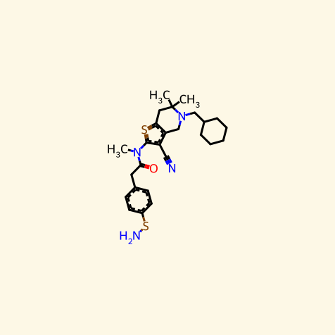 CN(C(=O)Cc1ccc(SN)cc1)c1sc2c(c1C#N)CN(CC1CCCCC1)C(C)(C)C2